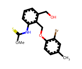 COC(=S)Nc1cccc(CO)c1COc1ccc(C)cc1Br